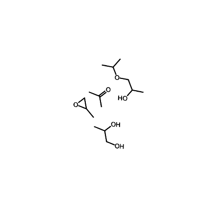 CC(C)=O.CC(O)CO.CC(O)COC(C)C.CC1CO1